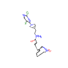 O=C(/C=C/c1ccc[n+]([O-])c1)NCCC1C2CN(c3nc(Cl)ncc3F)CC12